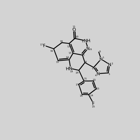 Cn1ncnc1C1c2n[nH]c(=O)c3c2C(=CC(F)C3)NC1c1ccc(F)cc1